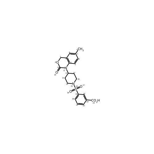 Cc1ccc2c(c1)COC(=O)N2C1CCN(S(=O)(=O)c2cccc(C(=O)O)c2)CC1